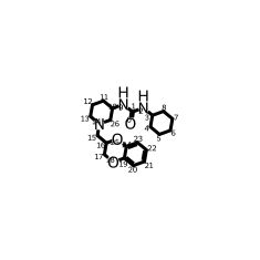 O=C(NC1CCCCC1)NC1CCCN(CC2COc3ccccc3O2)C1